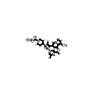 Cc1cncc(C(C)Oc2cc(-c3nnn(C4CCN(C(=O)OC(C)(C)C)CC4)c3C)cn3ncc(C#N)c23)n1